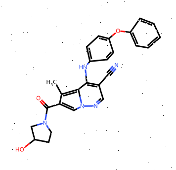 Cc1c(C(=O)N2CCC(O)C2)cn2ncc(C#N)c(Nc3ccc(Oc4ccccc4)cc3)c12